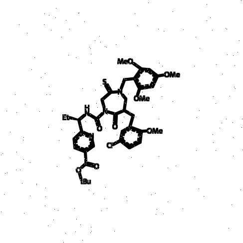 CC[C@@H](NC(=O)N1CC(=S)N(Cc2c(OC)cc(OC)cc2OC)CC(Cc2cc(Cl)ccc2OC)C1=O)c1ccc(C(=O)OC(C)(C)C)cn1